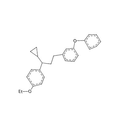 CCOc1ccc(C(CCc2cccc(Oc3ccccc3)c2)C2CC2)cc1